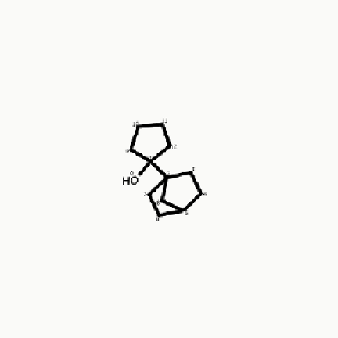 OC1(C23CCC(CC2)C3)CCCC1